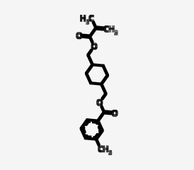 C=C(C)C(=O)OCC1CCC(COC(=O)c2cccc(C)c2)CC1